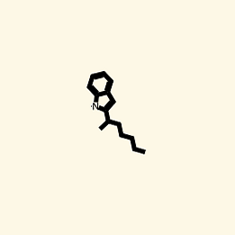 CCCCCC(C)C1=Cc2ccccc2[N]1